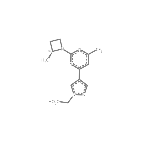 C[C@H]1CCN1c1nc(-c2cnn(CC(=O)O)c2)cc(C(F)(F)F)n1